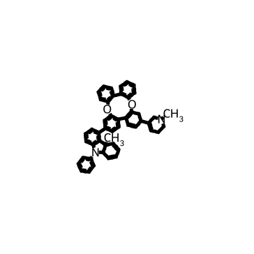 CN1CCC=C(C2C=CC3=C(C2)Oc2ccccc2-c2ccccc2Oc2cc(-c4cccc5c4C4(C)C=CC=CC4N5c4ccccc4)ccc23)C1